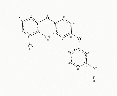 N#Cc1cccc(Oc2ccc(Oc3cccc(CF)c3)cc2)c1C#N